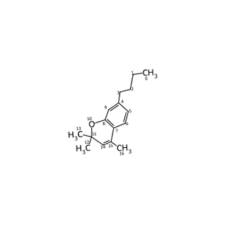 CCCCc1ccc2c(c1)OC(C)(C)C=C2C